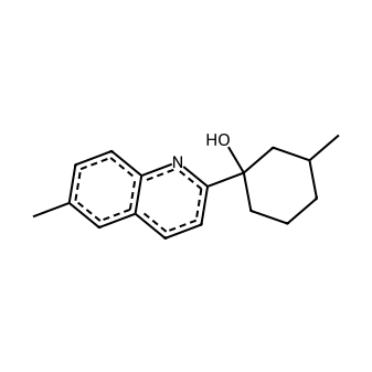 Cc1ccc2nc(C3(O)CCCC(C)C3)ccc2c1